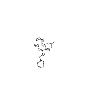 CC(C)C[C@H](NC(=O)OCc1ccccc1)[C@H](O)[C@@]1(C)CO1